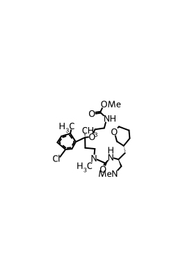 CNC[C@H](C[C@H]1CCCOC1)NC(=O)N(C)CC[C@](C)(OCCNC(=O)OC)c1cc(Cl)ccc1C